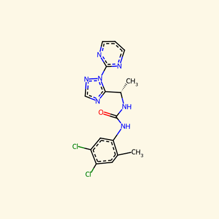 Cc1cc(Cl)c(Cl)cc1NC(=O)N[C@@H](C)c1ncnn1-c1ncccn1